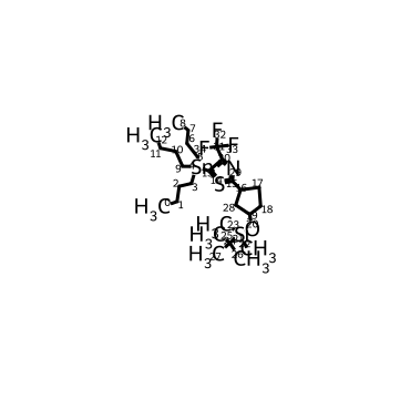 CCC[CH2][Sn]([CH2]CCC)([CH2]CCC)[c]1sc(C2CCC(O[Si](C)(C)C(C)(C)C)C2)nc1C(F)(F)F